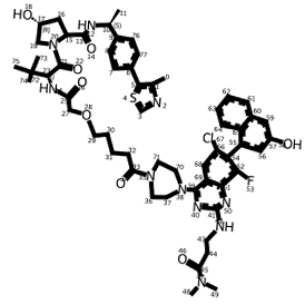 Cc1ncsc1-c1ccc([C@H](C)NC(=O)C2C[C@@H](O)CN2C(=O)[C@@H](NC(=O)COCCCCC(=O)N2CCN(c3nc(NCCC(=O)N(C)C)nc4c(F)c(-c5cc(O)cc6ccccc56)c(Cl)cc34)CC2)C(C)(C)C)cc1